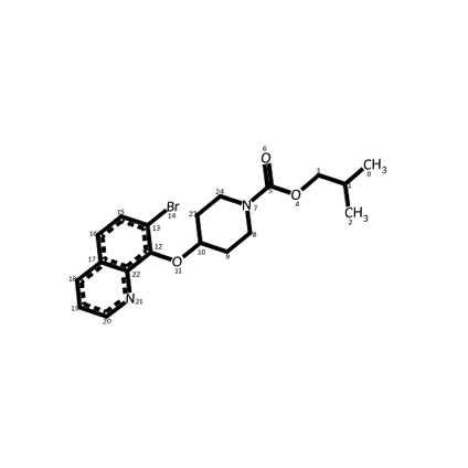 CC(C)COC(=O)N1CCC(Oc2c(Br)ccc3cccnc23)CC1